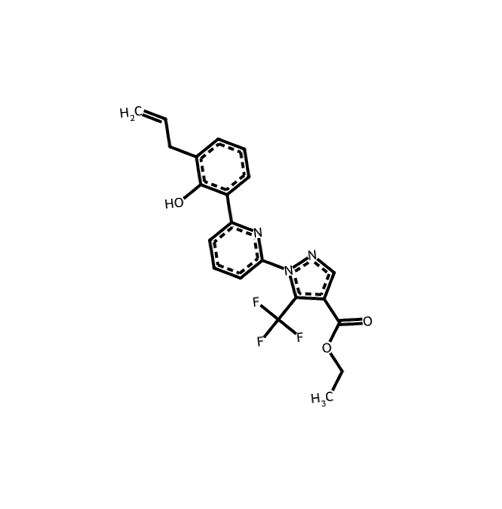 C=CCc1cccc(-c2cccc(-n3ncc(C(=O)OCC)c3C(F)(F)F)n2)c1O